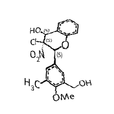 COc1c(C)cc([C@@H]2Oc3ccccc3[C@H](O)[C@@]2(Cl)[N+](=O)[O-])cc1CO